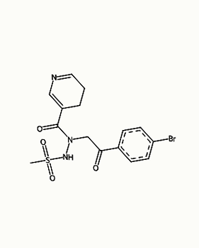 CS(=O)(=O)NN(CC(=O)c1ccc(Br)cc1)C(=O)C1=CN=CCC1